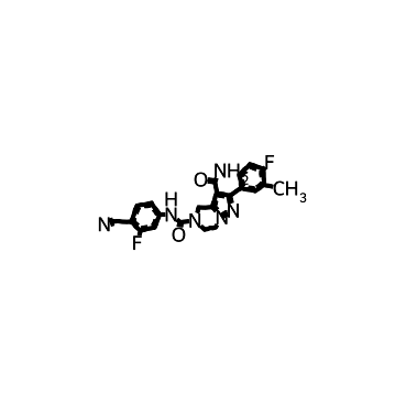 Cc1cc(-c2nn3c(c2C(N)=O)CN(C(=O)Nc2ccc(C#N)c(F)c2)CC3)ccc1F